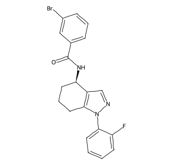 O=C(N[C@@H]1CCCc2c1cnn2-c1ccccc1F)c1cccc(Br)c1